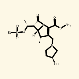 CC[Si](CC)(CC)O[C@H](C)[C@@H]1C(=O)N2C(C(=O)OP)=C(CN3CC[C@H](O)C3)[C@H](C)[C@H]12